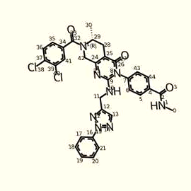 CNC(=O)c1ccc(-n2c(NCc3cnn(-c4ccccc4)n3)nc3c(c2=O)C[C@@H](C)N(C(=O)c2ccc(Cl)c(Cl)c2)C3)cc1